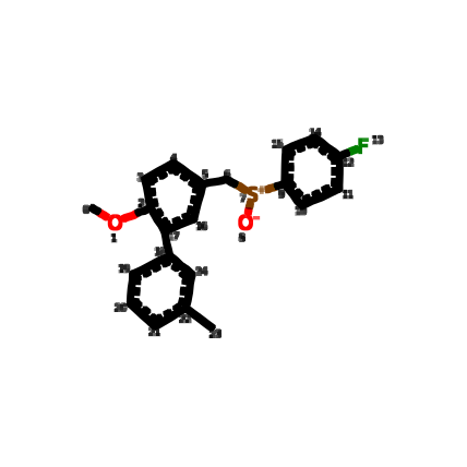 COc1ccc(C[S+]([O-])c2ccc(F)cc2)cc1-c1cccc(C)c1